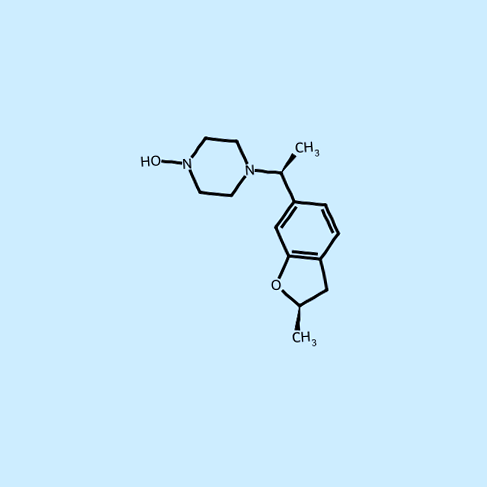 C[C@@H]1Cc2ccc([C@H](C)N3CCN(O)CC3)cc2O1